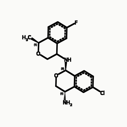 C[C@@H]1OCC(N[C@@H]2OC[C@@H](N)c3cc(Cl)ccc32)c2cc(F)ccc21